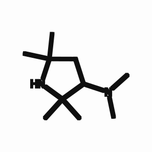 CN(C)C1CC(C)(C)NC1(C)C